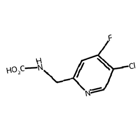 O=C(O)NCc1cc(F)c(Cl)cn1